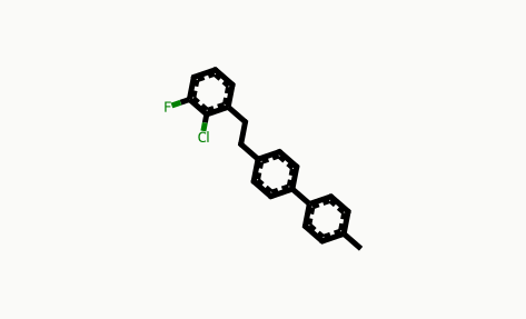 Cc1ccc(-c2ccc(CCc3cccc(F)c3Cl)cc2)cc1